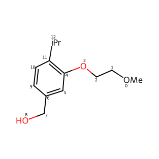 COCCOc1cc(CO)ccc1C(C)C